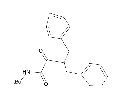 CC(C)(C)NC(=O)C(=O)C(Cc1ccccc1)Cc1ccccc1